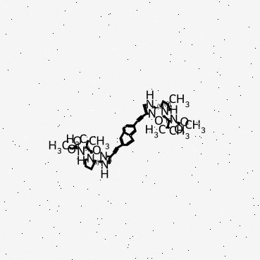 COC(=O)N[C@H](C(=O)N1CCC[C@H]1c1nc(C#Cc2ccc3cc(C#Cc4c[nH]c([C@@H]5C[C@H](C)CN5C(=O)[C@@H](NC(=O)OC)C(C)C)n4)ccc3c2)c[nH]1)C(C)C